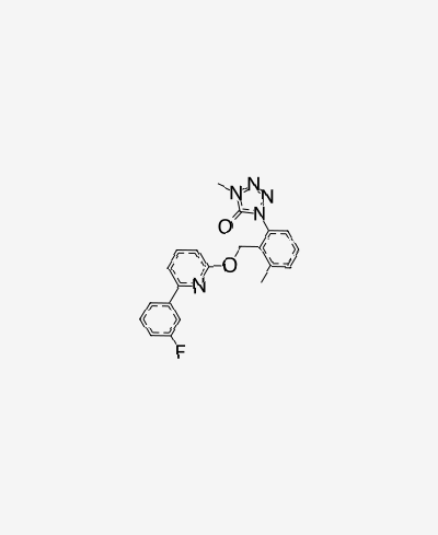 Cc1cccc(-n2nnn(C)c2=O)c1COc1cccc(-c2cccc(F)c2)n1